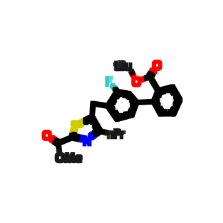 CCCc1nc(C(=O)OC)sc1Cc1ccc(-c2ccccc2C(=O)OC(C)(C)C)cc1F